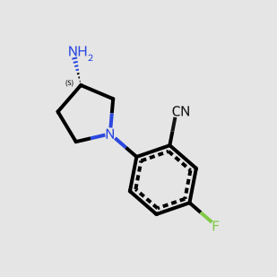 N#Cc1cc(F)ccc1N1CC[C@H](N)C1